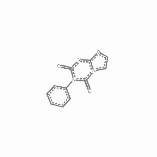 O=c1nc2occn2c(=O)n1-c1ccccc1